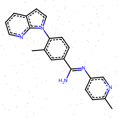 Cc1ccc(/N=C(\N)c2ccc(-n3ccc4cccnc43)c(C)c2)cn1